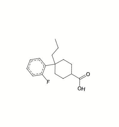 CCCC1(c2ccccc2F)CCC(C(=O)O)CC1